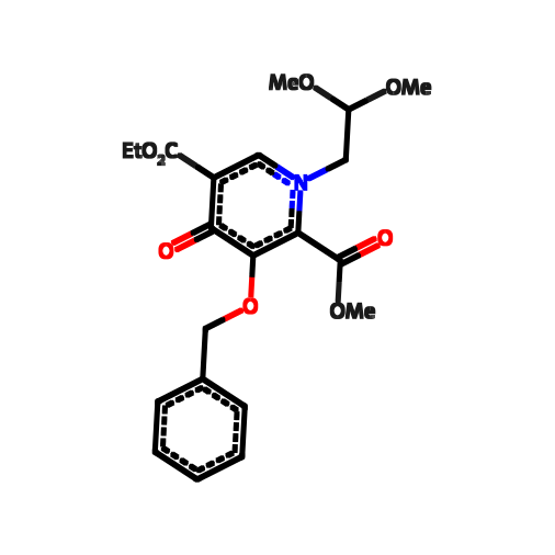 CCOC(=O)c1cn(CC(OC)OC)c(C(=O)OC)c(OCc2ccccc2)c1=O